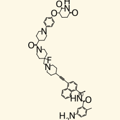 Cc1ccc(N)cc1C(=O)N[C@H](C)c1ccc(C#CC2CCN(CC3(F)CCN(C(=O)C4CCN(c5ccc(OC6CCC(=O)NC6=O)cc5)CC4)CC3)CC2)c2ccccc12